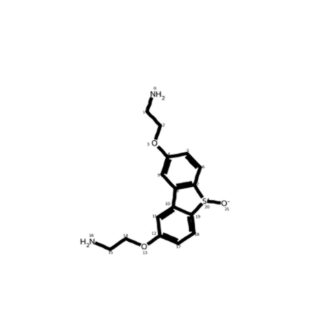 NCCOc1ccc2c(c1)c1cc(OCCN)ccc1[s+]2[O-]